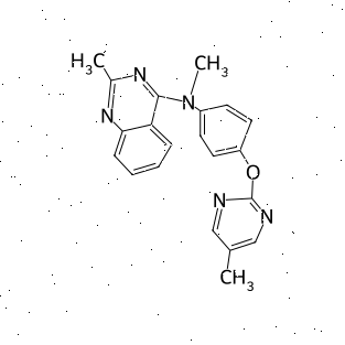 Cc1cnc(Oc2ccc(N(C)c3nc(C)nc4ccccc34)cc2)nc1